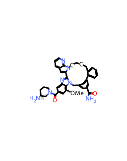 COc1cc(C(=O)N2CCC[C@@H](N)C2)cc2nc3n(c12)Cc1cc(C(N)=O)cc(c1)-c1ccccc1CCCCn1c-3cc2cccnc21